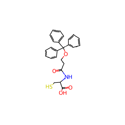 O=C(CCOC(c1ccccc1)(c1ccccc1)c1ccccc1)NC(CS)C(=O)O